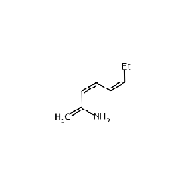 C=C(N)/C=C\C=C/CC